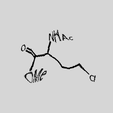 COC(=O)C(CCCl)NC(C)=O